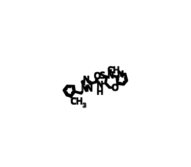 Cc1ccccc1Cn1cnc(C(=O)N[C@H]2COc3cccnc3N(C)C2=S)n1